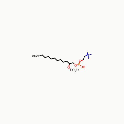 CCCCCCCCCCCCCCCCCCCC(COP(O)OCC[N+](C)(C)C)OC(=O)OCC